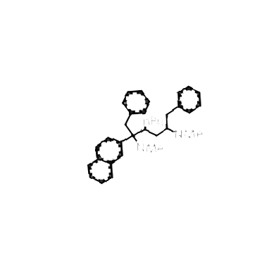 CCCC[C](CC(Cc1ccccc1)NC)C(Cc1ccccc1)(NC)c1ccc2ccccc2c1